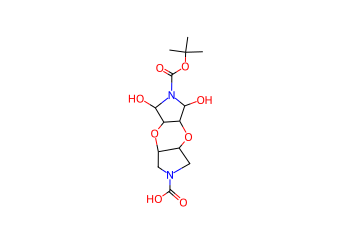 CC(C)(C)OC(=O)N1C(O)C2OC3CN(C(=O)O)CC3OC2C1O